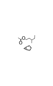 CCC(C)CCOC(C)=O.c1cc2cc-2c1